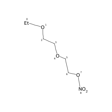 [CH2]COCCOCCO[N+](=O)[O-]